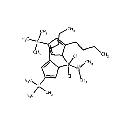 CCCCC1=CC([Si](C)(C)C)=C[CH]1[Ti]([Cl])([Cl])([CH]1C=C([Si](C)(C)C)C=C1CCCC)[SiH](C)C